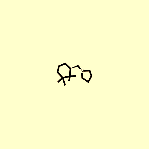 CC1(C)CCC[C@@H](CN2CCCC2)C1(C)C